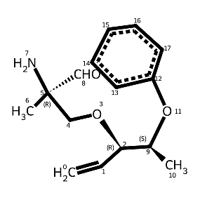 C=C[C@@H](OC[C@@](C)(N)C=O)[C@H](C)Oc1ccccc1